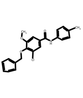 COc1cc(C(=O)Nc2ccc(C)cc2)cc(Cl)c1OCc1ccccc1